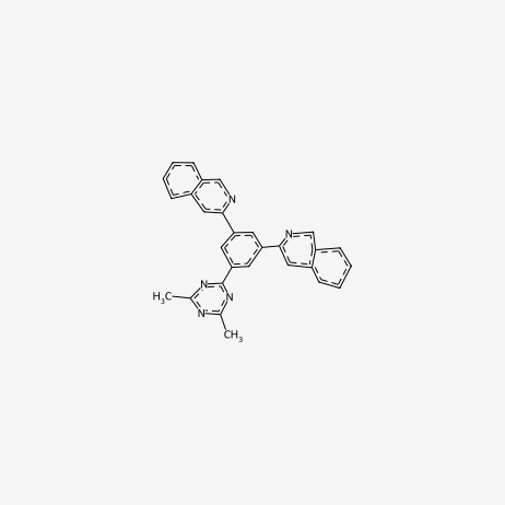 Cc1nc(C)nc(-c2cc(-c3cc4ccccc4cn3)cc(-c3cc4ccccc4cn3)c2)n1